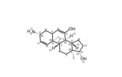 C[C@]12CC[C@H]3[C@@H](C(O)=CC4C[C@@H](N)C=C[C@@]43C)[C@@H]1CC[C@@H]2O